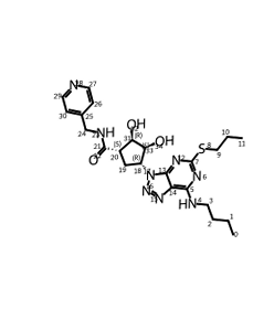 CCCCNc1nc(SCCC)nc2c1nnn2[C@@H]1C[C@H](C(=O)NCc2ccncc2)[C@@H](O)[C@H]1O